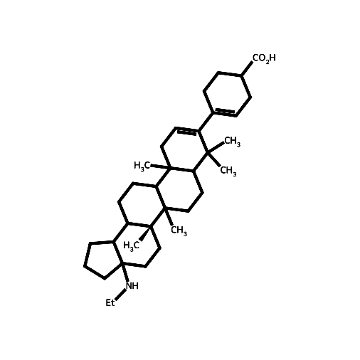 CCNC12CCCC1C1CCC3C4(C)CC=C(C5=CCC(C(=O)O)CC5)C(C)(C)C4CCC3(C)[C@]1(C)CC2